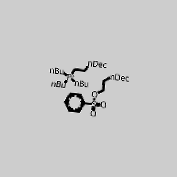 CCCCCCCCCCCCOS(=O)(=O)c1ccccc1.CCCCCCCCCCCC[P+](CCCC)(CCCC)CCCC